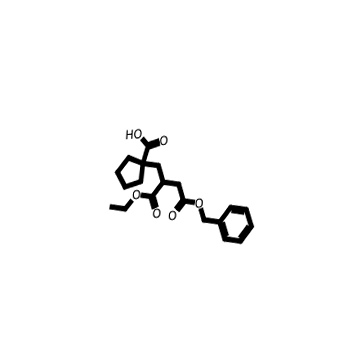 CCOC(=O)C(CC(=O)OCc1ccccc1)CC1(C(=O)O)CCCC1